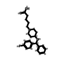 O=C(O)CCCCN1CCC(OC(c2ccccc2)c2ccc(F)cc2)CC1